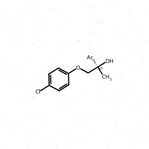 CC(=O)[C@@](C)(O)COc1ccc(Cl)cc1